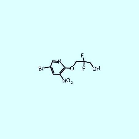 O=[N+]([O-])c1cc(Br)cnc1OCC(F)(F)CO